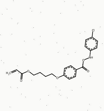 C=CC(=O)OCCCCOc1ccc(C(=O)ONc2ccc(Cl)cc2)cc1